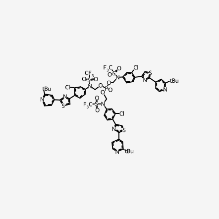 CC(C)(C)c1cc(-c2nc(-c3ccc(N(COP(=O)(OCN(c4ccc(-c5csc(-c6ccnc(C(C)(C)C)c6)n5)c(Cl)c4)S(=O)(=O)C(F)(F)F)OCN(c4ccc(-c5csc(-c6ccnc(C(C)(C)C)c6)n5)c(Cl)c4)S(=O)(=O)C(F)(F)F)S(=O)(=O)C(F)(F)F)cc3Cl)cs2)ccn1